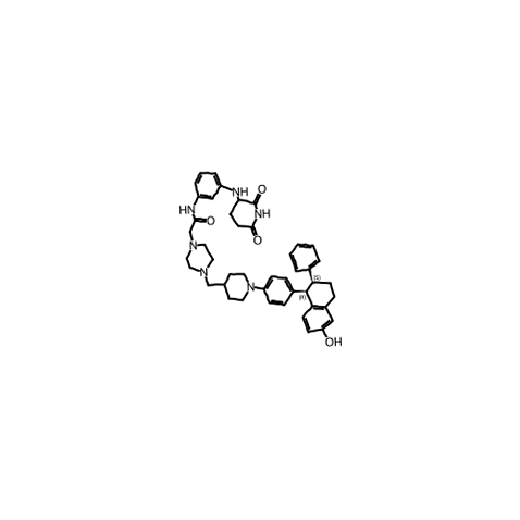 O=C1CCC(Nc2cccc(NC(=O)CN3CCN(CC4CCN(c5ccc([C@@H]6c7ccc(O)cc7CC[C@@H]6c6ccccc6)cc5)CC4)CC3)c2)C(=O)N1